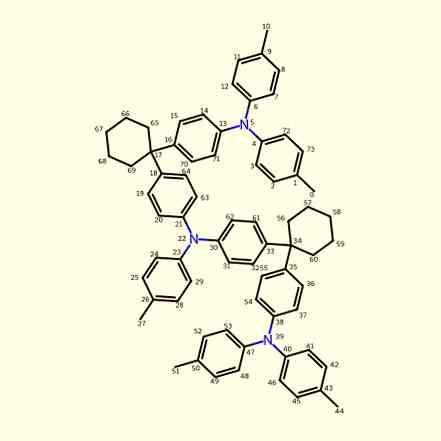 Cc1ccc(N(c2ccc(C)cc2)c2ccc(C3(c4ccc(N(c5ccc(C)cc5)c5ccc(C6(c7ccc(N(c8ccc(C)cc8)c8ccc(C)cc8)cc7)CCCCC6)cc5)cc4)CCCCC3)cc2)cc1